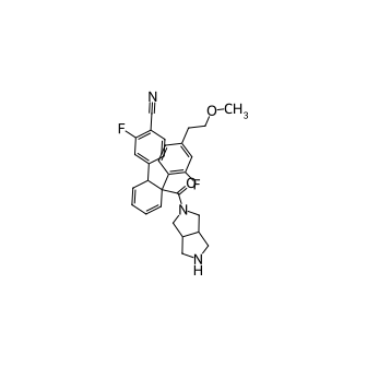 COCCc1ccc(C2(C(=O)N3CC4CNCC4C3)C=CC=CC2c2ccc(C#N)c(F)c2)c(F)c1